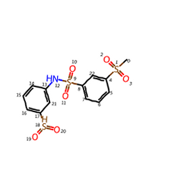 CS(=O)(=O)c1cccc(S(=O)(=O)Nc2cccc([SH](=O)=O)c2)c1